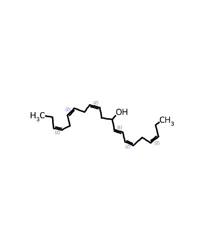 CC/C=C\C/C=C\C=C\C(O)C/C=C\C/C=C\C/C=C\CC